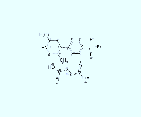 CC1CN(c2ccc(C(F)(F)F)cc2)C(C)CN1.O=C(O)/C=C/C(=O)O